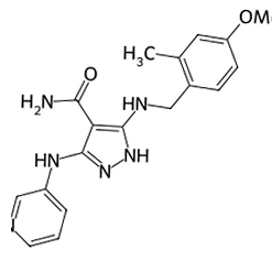 COc1ccc(CNc2[nH]nc(Nc3cccnc3)c2C(N)=O)c(C)c1